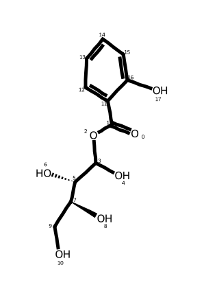 O=C(OC(O)[C@@H](O)[C@@H](O)CO)c1ccccc1O